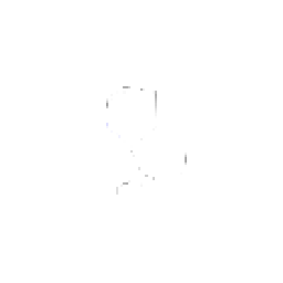 CC(C)(C)[C@@H]1CCCc2cccnc21